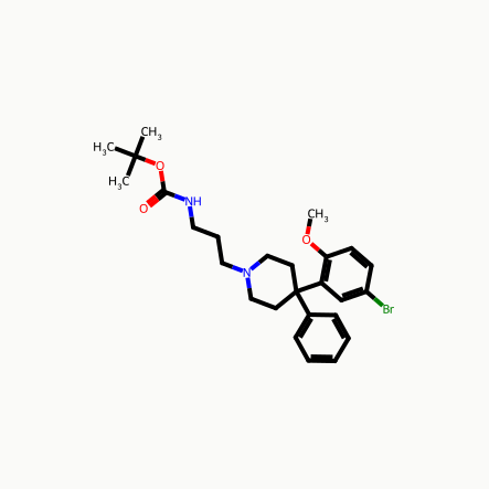 COc1ccc(Br)cc1C1(c2ccccc2)CCN(CCCNC(=O)OC(C)(C)C)CC1